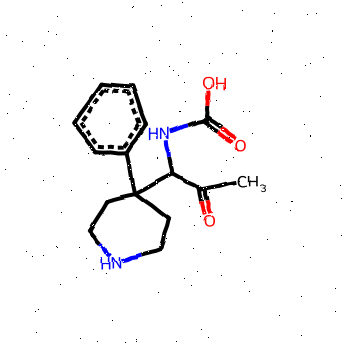 CC(=O)C(NC(=O)O)C1(c2ccccc2)CCNCC1